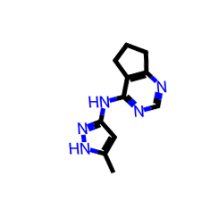 Cc1cc(Nc2ncnc3c2CCC3)n[nH]1